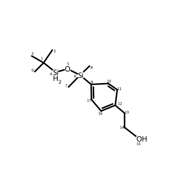 CC(C)(C)[SiH2]O[Si](C)(C)c1ccc(CCO)cc1